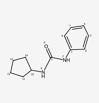 O=C(Nc1[c]cccc1)NC1CCCC1